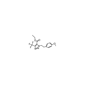 CCOC(=O)c1c(C(F)(F)F)nnn1CCc1ccc(OC)cc1